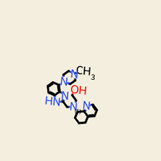 CN1CCN(c2cccc3[nH]c(CN(CCO)[C@H]4CCCc5cccnc54)nc23)CC1